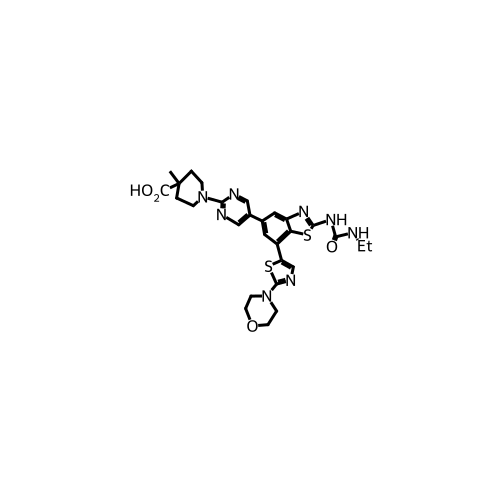 CCNC(=O)Nc1nc2cc(-c3cnc(N4CCC(C)(C(=O)O)CC4)nc3)cc(-c3cnc(N4CCOCC4)s3)c2s1